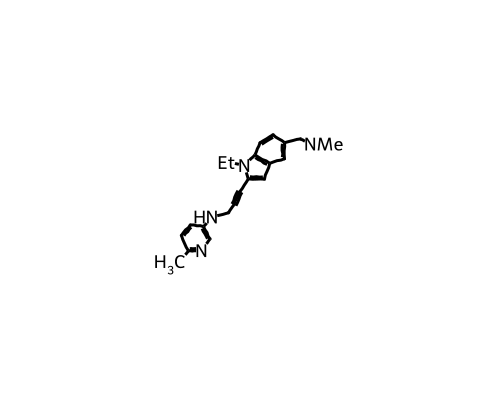 CCn1c(C#CCNc2ccc(C)nc2)cc2cc(CNC)ccc21